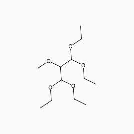 CCOC(OCC)C(OC)C(OCC)OCC